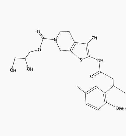 COc1ccc(C)cc1C(C)CC(=O)Nc1sc2c(c1C#N)CCN(C(=O)OCC(O)CO)C2